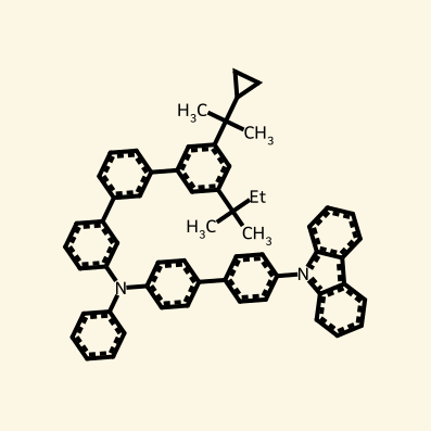 CCC(C)(C)c1cc(-c2cccc(-c3cccc(N(c4ccccc4)c4ccc(-c5ccc(-n6c7ccccc7c7ccccc76)cc5)cc4)c3)c2)cc(C(C)(C)C2CC2)c1